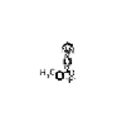 CC(C)[C@@H]1CC[C@@H](C)C[C@H]1C(=O)N1CCN(c2ncccn2)CC1